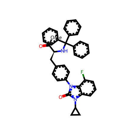 COC(=O)[C@H](Cc1ccc(-n2c(=O)n(C3CC3)c3cccc(F)c32)cc1)NC(c1ccccc1)(c1ccccc1)c1ccccc1